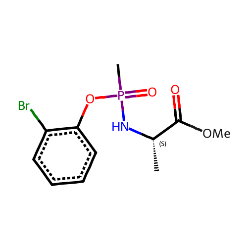 COC(=O)[C@H](C)NP(C)(=O)Oc1ccccc1Br